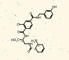 N[C@H]1CC=CC[C@@H]1C(=O)NC[C@H](NC(=O)c1ccc(C(=O)NCc2cccc(O)c2)cc1Cl)C(=O)O